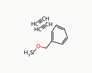 C#C.C#C.[SiH3]OCc1ccccc1